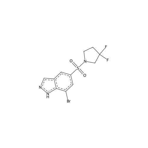 O=S(=O)(c1cc(Br)c2[nH]ncc2c1)N1CCC(F)(F)C1